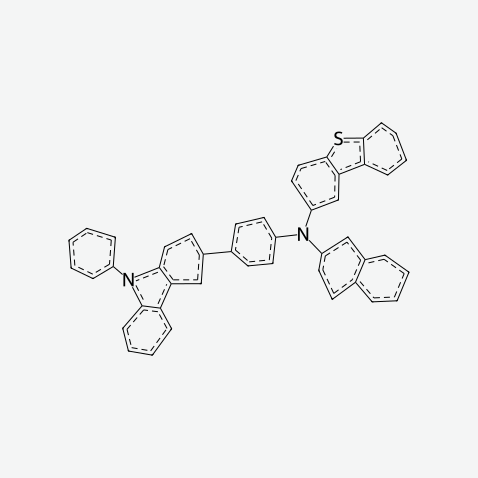 c1ccc(-n2c3ccccc3c3cc(-c4ccc(N(c5ccc6ccccc6c5)c5ccc6sc7ccccc7c6c5)cc4)ccc32)cc1